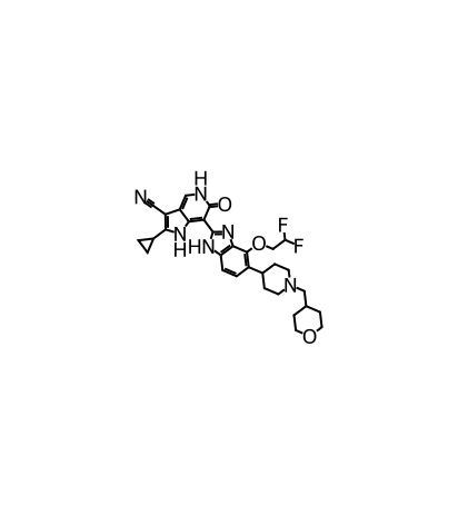 N#Cc1c(C2CC2)[nH]c2c(-c3nc4c(OCC(F)F)c(C5CCN(CC6CCOCC6)CC5)ccc4[nH]3)c(=O)[nH]cc12